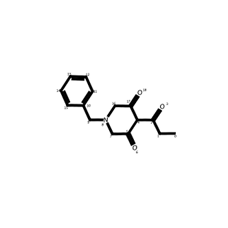 CCC(=O)C1C(=O)CN(Cc2ccccc2)CC1=O